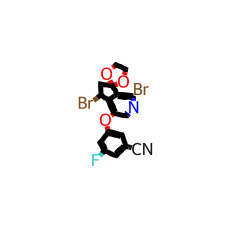 N#Cc1cc(F)cc(Oc2cnc(Br)c3c2C(Br)CC32OCCO2)c1